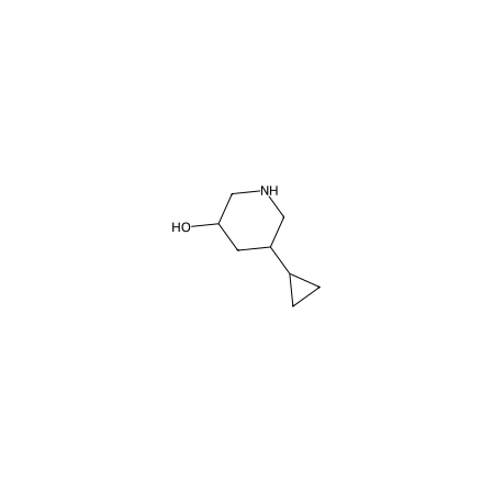 OC1CNCC(C2CC2)C1